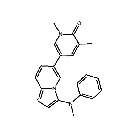 Cc1cc(-c2ccc3ncc(N(C)c4ccccc4)n3c2)cn(C)c1=O